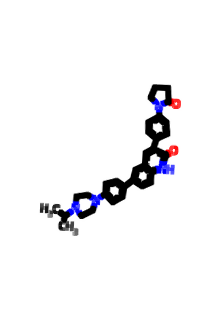 CC(C)N1CCN(c2ccc(-c3ccc4[nH]c(=O)c(-c5ccc(N6CCCC6=O)cc5)cc4c3)cc2)CC1